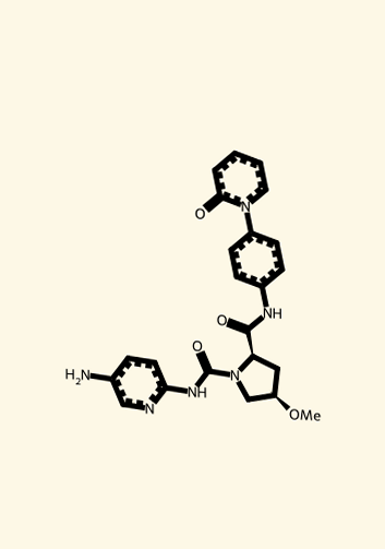 CO[C@@H]1C[C@H](C(=O)Nc2ccc(-n3ccccc3=O)cc2)N(C(=O)Nc2ccc(N)cn2)C1